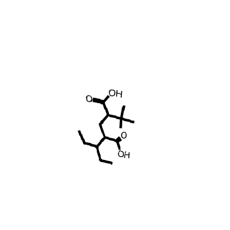 CCC(CC)C(CC(C(=O)O)C(C)(C)C)C(=O)O